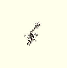 C[C@@H]1COC2(CCOCC2)c2cccc(C(C(=O)O)N(C)[C@@H]3C[C@@H](OCCCCc4ccc5c(n4)NCCC5)C(C)(C)C3)c21